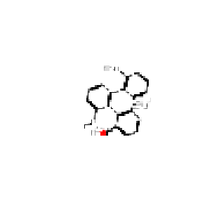 CC(C)(C)c1cccc(C(C)(C)C)c1-c1cccc(P(O)O)c1-c1c(C(C)(C)C)cccc1C(C)(C)C